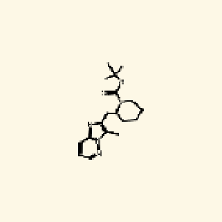 Cc1c(C[C@@H]2CCCCN2C(=O)OC(C)(C)C)nc2cccnn12